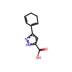 O=C(O)c1cc(C2=CCCC=C2)n[nH]1